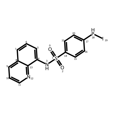 O=S(=O)(Nc1cccc2cccnc12)c1ccc(PI)cc1